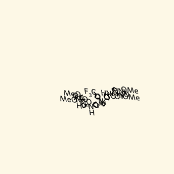 COC(=O)N[C@H](C(=O)N1CCCC1C(=O)Nc1ccc([C@H]2CC[C@H](c3ccc(NC(=O)[C@@H]4CCCN4C(=O)[C@@H](NC(=O)OC)[C@@H](C)OC)cc3)N2c2ccc(C(F)(F)F)cc2)cc1)[C@@H](C)OC